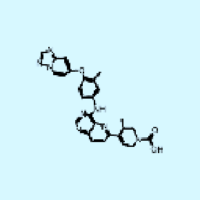 Cc1cc(Nc2ncnc3ccc(C4=CCN(C(=O)O)CC4C)nc23)ccc1Oc1ccn2ncnc2c1